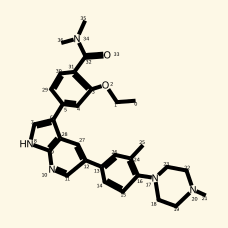 CCOc1cc(-c2c[nH]c3ncc(-c4ccc(N5CCN(C)CC5)c(C)c4)cc23)ccc1C(=O)N(C)C